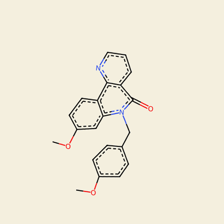 COc1ccc(Cn2c(=O)c3cccnc3c3ccc(OC)cc32)cc1